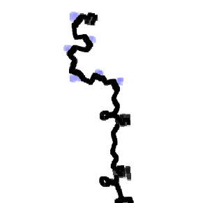 CC/C=C\C/C=C\C/C=C\C/C=C\C/C=C\C/C=C\CCC(=O)NCCCCCNC(=O)c1ccccc1